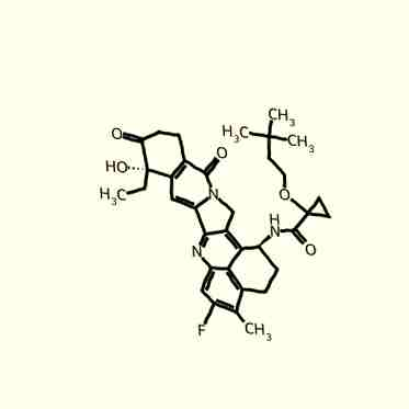 CC[C@@]1(O)C(=O)CCc2c1cc1n(c2=O)Cc2c-1nc1cc(F)c(C)c3c1c2[C@@H](NC(=O)C1(OCCC(C)(C)C)CC1)CC3